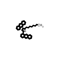 CCCCCCCCc1ccc(-c2cccc3cc4ccccc4cc23)s1.c1ccc2cc3ccccc3cc2c1